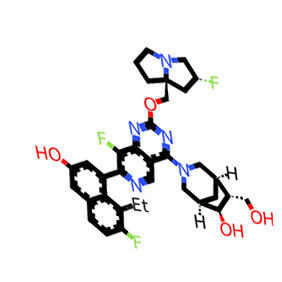 CCc1c(F)ccc2cc(O)cc(-c3ncc4c(N5C[C@H]6C[C@@H](C5)[C@H](CO)[C@H]6O)nc(OC[C@@]56CCCN5C[C@H](F)C6)nc4c3F)c12